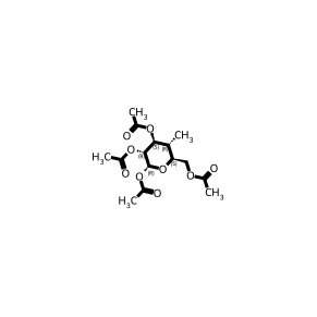 CC(=O)OC[C@H]1O[C@H](OC(C)=O)[C@H](OC(C)=O)[C@@H](OC(C)=O)[C@@H]1C